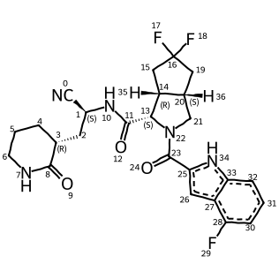 N#C[C@H](C[C@H]1CCCNC1=O)NC(=O)[C@@H]1[C@@H]2CC(F)(F)C[C@@H]2CN1C(=O)c1cc2c(F)cccc2[nH]1